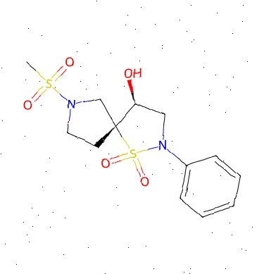 CS(=O)(=O)N1CC[C@@]2(C1)[C@@H](O)CN(c1ccccc1)S2(=O)=O